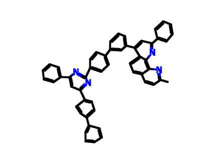 Cc1ccc2ccc3c(-c4cccc(-c5ccc(-c6nc(-c7ccccc7)cc(-c7ccc(-c8ccccc8)cc7)n6)cc5)c4)cc(-c4ccccc4)nc3c2n1